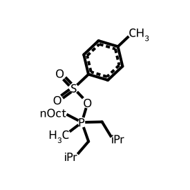 CCCCCCCCP(C)(CC(C)C)(CC(C)C)OS(=O)(=O)c1ccc(C)cc1